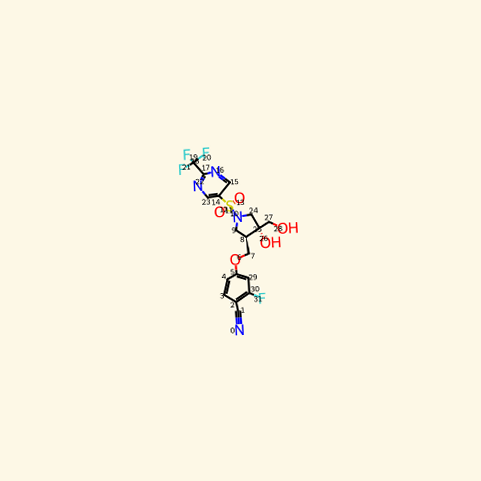 N#Cc1ccc(OC[C@H]2CN(S(=O)(=O)c3cnc(C(F)(F)F)nc3)C[C@@]2(O)CO)cc1F